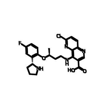 C[C@@H](CCNc1c(C(=O)O)cnc2ccc(Cl)nc12)Oc1ccc(F)cc1[C@H]1CCCN1